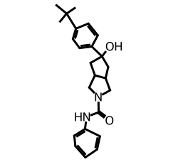 CC(C)(C)c1ccc(C2(O)CC3CN(C(=O)Nc4ccccc4)CC3C2)cc1